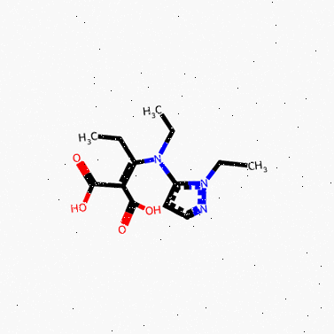 CCC(=C(C(=O)O)C(=O)O)N(CC)c1ccnn1CC